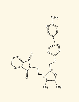 COc1ccc(-c2ccc(CC[C@H]3OC(O)C(O)[C@H]3CCN3C(=O)c4ccccc4C3=O)cc2)cn1